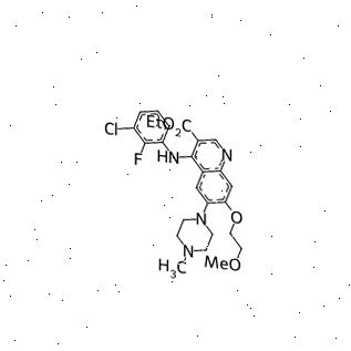 CCOC(=O)c1cnc2cc(OCCOC)c(N3CCN(C)CC3)cc2c1Nc1cccc(Cl)c1F